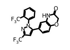 O=C1COc2ccc(-c3cc(C(F)(F)F)nn3-c3ccccc3C(F)(F)F)cc2N1